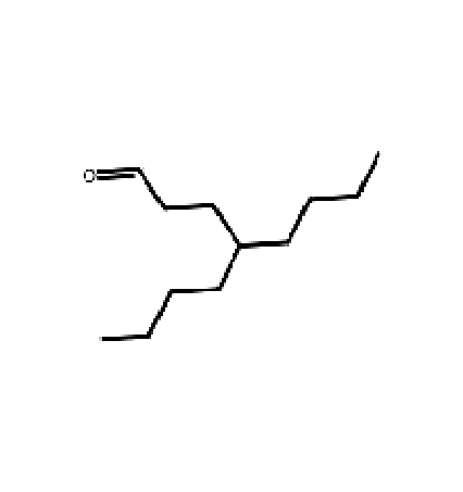 CCCCC(CC[C]=O)CCCC